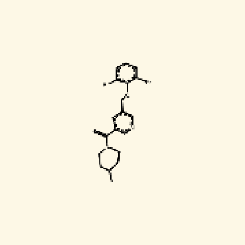 C=C(c1cncc(COc2c(Br)cccc2Br)c1)N1CCC(C)CC1